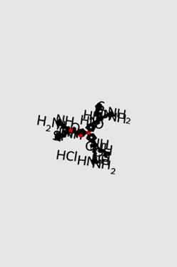 Cl.N=C(N)NCCC[C@H](NC(=O)Cc1ccsc1)C(=O)Nc1ccc(C(c2ccc(NC(=O)[C@H](CCCNC(=N)N)NC(=O)Cc3ccsc3)cc2)c2ccc(NC(=O)[C@H](CCCNC(=N)N)NC(=O)Cc3ccsc3)cc2)cc1